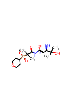 CC(C)(O)C(=N)/C=C(\O)NC(=O)C(C)(C)S(=O)(=O)C1CCOCC1